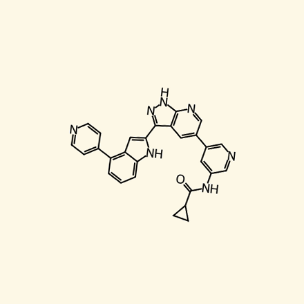 O=C(Nc1cncc(-c2cnc3[nH]nc(-c4cc5c(-c6ccncc6)cccc5[nH]4)c3c2)c1)C1CC1